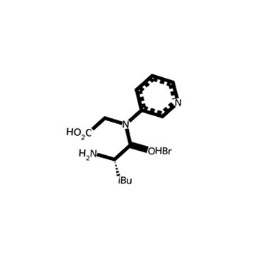 Br.CCC(C)[C@H](N)C(=O)N(CC(=O)O)c1cccnc1